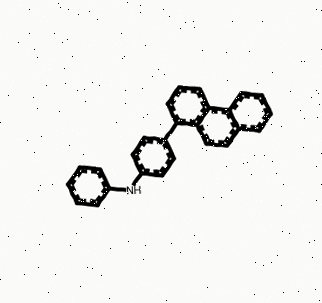 c1ccc(Nc2ccc(-c3cccc4c3ccc3ccccc34)cc2)cc1